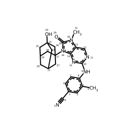 Cc1cc(C#N)ccc1Nc1ncc2c(n1)n(C13CC4CC(CC(O)(C4)C1)C3)c(=O)n2C